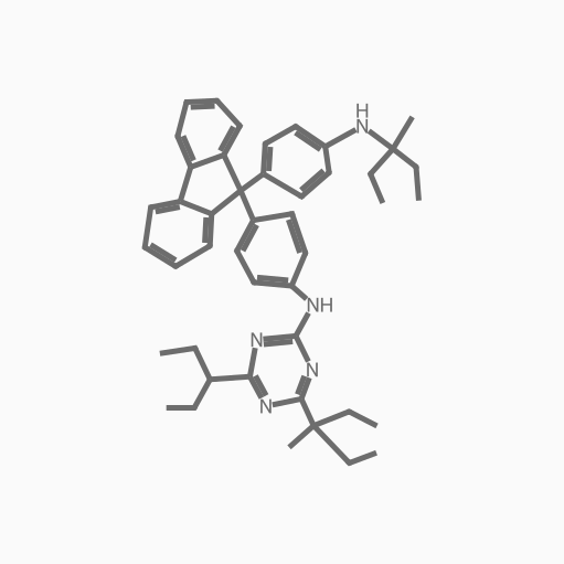 CCC(CC)c1nc(Nc2ccc(C3(c4ccc(NC(C)(CC)CC)cc4)c4ccccc4-c4ccccc43)cc2)nc(C(C)(CC)CC)n1